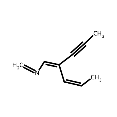 C=N/C=C(C#CC)\C=C/C